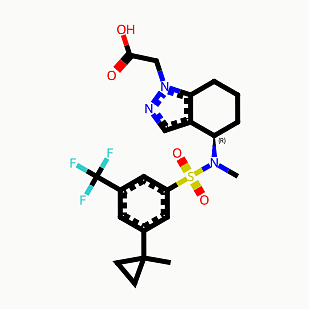 CN([C@@H]1CCCc2c1cnn2CC(=O)O)S(=O)(=O)c1cc(C(F)(F)F)cc(C2(C)CC2)c1